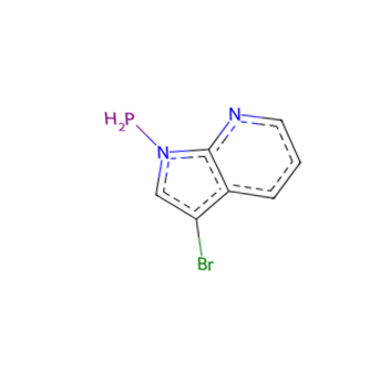 Pn1cc(Br)c2cccnc21